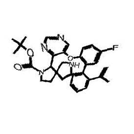 C=C(C)c1ccccc1-c1cc(F)ccc1Oc1cncnc1C1N(C(=O)OC(C)(C)C)CCC12CCNC2